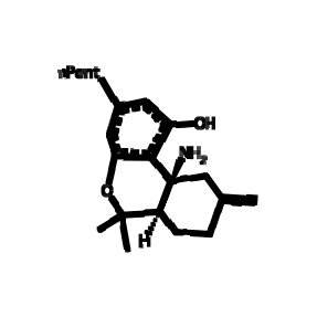 C=C1CC[C@H]2C(C)(C)Oc3cc(CCCCC)cc(O)c3[C@]2(N)C1